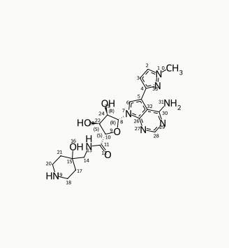 Cn1ccc(-c2cn([C@@H]3O[C@H](C(=O)NCC4(O)CCNCC4)[C@@H](O)[C@H]3O)c3ncnc(N)c23)n1